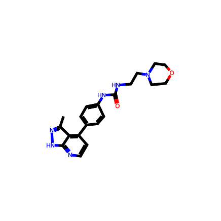 Cc1n[nH]c2nccc(-c3ccc(NC(=O)NCCN4CCOCC4)cc3)c12